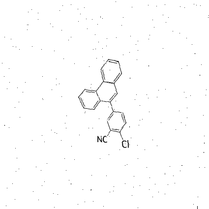 N#Cc1cc(-c2cc3ccccc3c3ccccc23)ccc1Cl